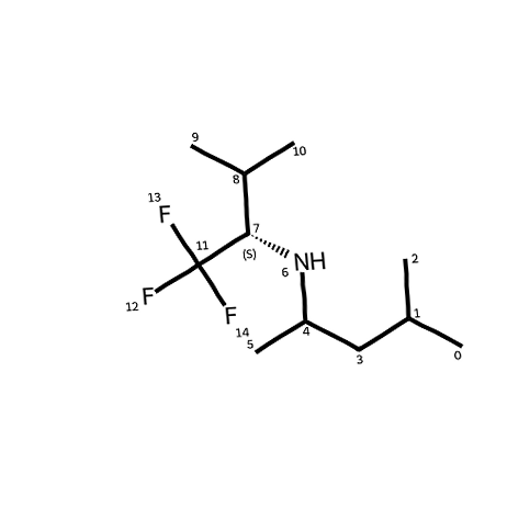 CC(C)CC(C)N[C@@H](C(C)C)C(F)(F)F